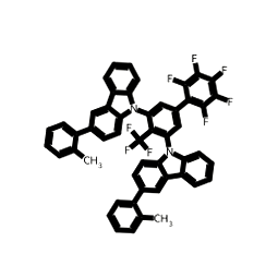 Cc1ccccc1-c1ccc2c(c1)c1ccccc1n2-c1cc(-c2c(F)c(F)c(F)c(F)c2F)cc(-n2c3ccccc3c3cc(-c4ccccc4C)ccc32)c1C(F)(F)F